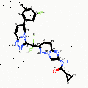 Cc1cc(F)cc(-c2ccc3nnc(C(F)(F)c4ccc5nc(NC(=O)C6CC6)cn5n4)n3c2)c1